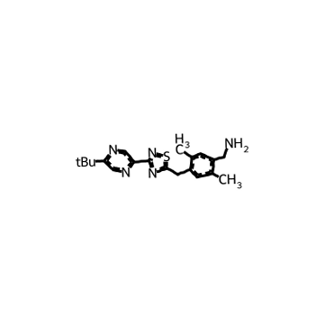 Cc1cc(Cc2nc(-c3cnc(C(C)(C)C)cn3)ns2)c(C)cc1CN